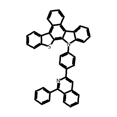 c1ccc(-c2nc(-c3ccc(-n4c5ccccc5c5c6ccccc6c6c7ccccc7sc6c54)cc3)cc3ccccc23)cc1